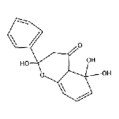 O=C1CC(O)(c2ccccc2)OC2=CC=CC(O)(O)C12